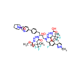 COC(=O)N[C@H](C(=O)N[C@@H](Cc1ccc(-c2ccc(N3CC4CCC(C3)N4C3COC3)nc2)cc1)[C@@H](O)CN(Cc1c(F)cc(-c2ccn(C)n2)cc1F)NC(=O)[C@@H](NC(=O)O)C(C)(C)C(F)(F)F)C(C)(C)C(F)(F)F